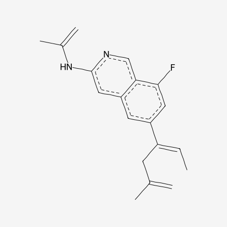 C=C(C)C/C(=C\C)c1cc(F)c2cnc(NC(=C)C)cc2c1